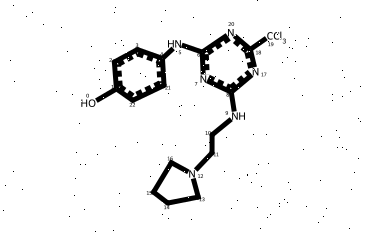 Oc1ccc(Nc2nc(NCCN3CCCC3)nc(C(Cl)(Cl)Cl)n2)cc1